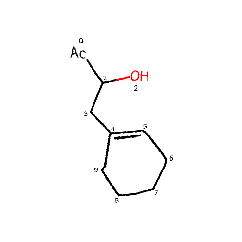 CC(=O)C(O)CC1=CCCCC1